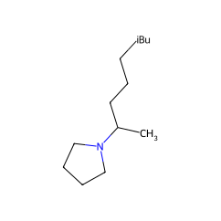 CCC(C)CCCC(C)N1CCCC1